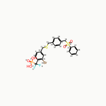 O=P(O)(O)C(F)(F)c1ccc(CSCc2ccc(CS(=O)(=O)c3ccccc3)cc2)cc1Br